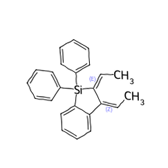 C/C=C1\C(=C/C)[Si](c2ccccc2)(c2ccccc2)c2ccccc21